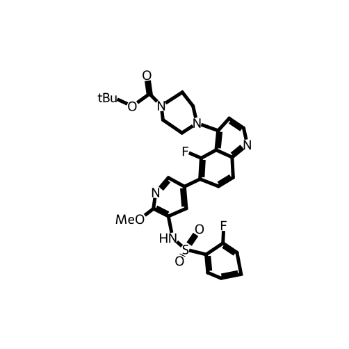 COc1ncc(-c2ccc3nccc(N4CCN(C(=O)OC(C)(C)C)CC4)c3c2F)cc1NS(=O)(=O)c1ccccc1F